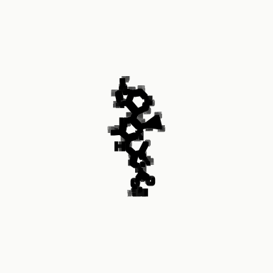 Cc1nn(C(=O)OC(C)(C)C)cc1Nc1nc(C2CC2)c(-c2cncc3c2ncn3C)nc1C